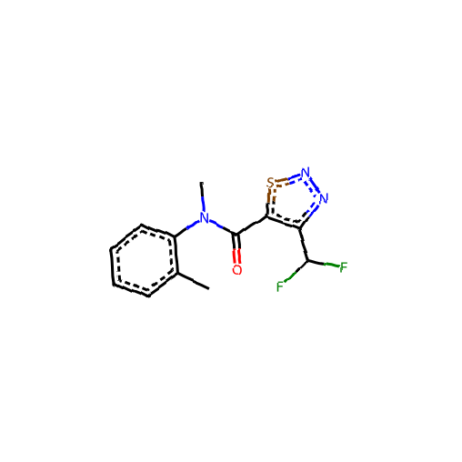 Cc1ccccc1N(C)C(=O)c1snnc1C(F)F